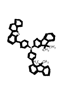 CC1(C)c2ccccc2-c2ccc(N(c3ccc(-c4cccc5c4C(C)(C)c4ccccc4-5)cc3)c3ccc(-c4cccc5c4sc4c6ccccc6ccc54)cc3)cc21